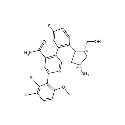 COc1ccc(F)c(F)c1-c1ncc(-c2cc(F)ccc2N2C[C@@H](N)C[C@H]2CO)c(C(N)=O)n1